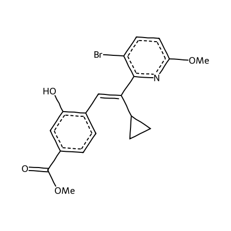 COC(=O)c1ccc(C=C(c2nc(OC)ccc2Br)C2CC2)c(O)c1